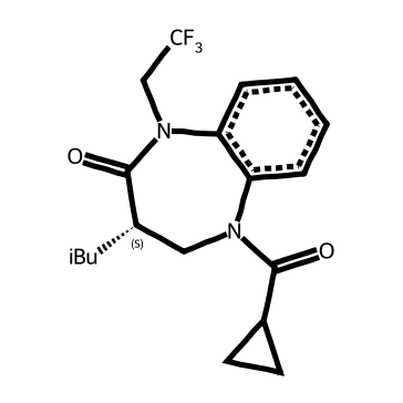 CCC(C)[C@H]1CN(C(=O)C2CC2)c2ccccc2N(CC(F)(F)F)C1=O